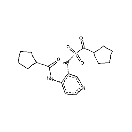 O=C(Nc1ccncc1NS(=O)(=O)C(=O)C1CCCC1)C1CCCC1